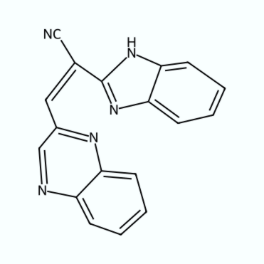 N#CC(=Cc1cnc2ccccc2n1)c1nc2ccccc2[nH]1